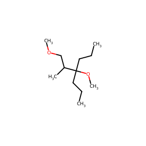 CCCC(CCC)(OC)C(C)COC